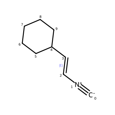 [C-]#[N+]/C=C/C1CCCCC1